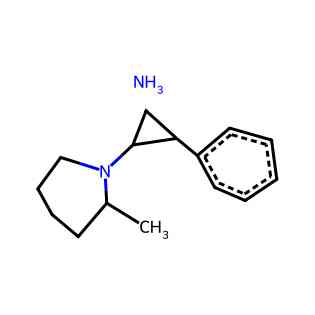 CC1CCCCN1C1CC1c1ccccc1.N